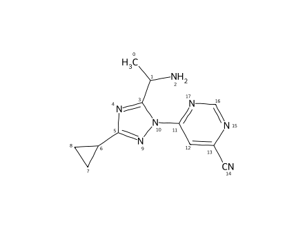 CC(N)c1nc(C2CC2)nn1-c1cc(C#N)ncn1